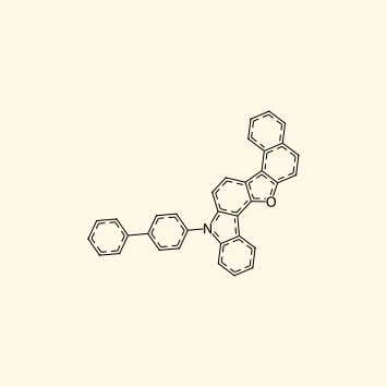 c1ccc(-c2ccc(-n3c4ccccc4c4c5oc6ccc7ccccc7c6c5ccc43)cc2)cc1